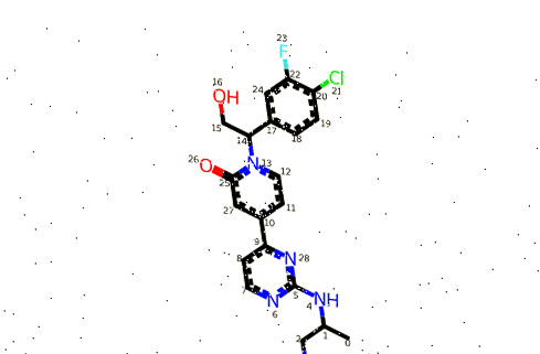 CC(CN)Nc1nccc(-c2ccn(C(CO)c3ccc(Cl)c(F)c3)c(=O)c2)n1